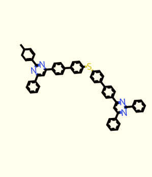 CC1C=CC(c2nc(-c3ccccc3)cc(-c3ccc(-c4ccc(Sc5ccc(-c6ccc(-c7cc(-c8ccccc8)nc(-c8ccccc8)n7)cc6)cc5)cc4)cc3)n2)=CC1